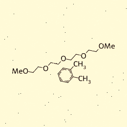 COCCOCCOCCOCCOC.Cc1ccccc1C